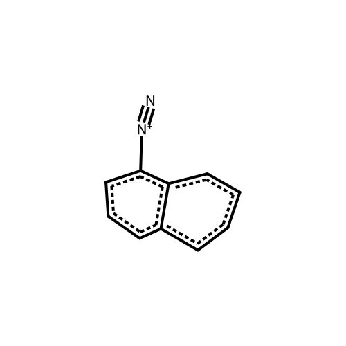 N#[N+]c1cccc2ccccc12